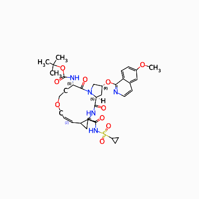 COc1ccc2c(O[C@@H]3C[C@H]4C(=O)N[C@]5(C(=O)NS(=O)(=O)C6CC6)CC5/C=C\COCC[C@H](NC(=O)OC(C)(C)C)C(=O)N4C3)nccc2c1